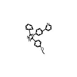 CCOc1ccc(-c2nnc(-c3ccccc3)n2-c2ccc(-c3cccnc3)cc2)cc1